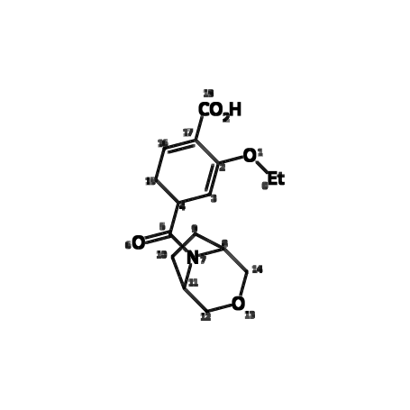 CCOC1=CC(C(=O)N2C3CCC2COC3)CC=C1C(=O)O